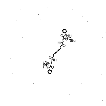 CC(C)(C)OC(=O)N[C@H](C(=O)NCCNC(=O)CCC#CC#CCCC(=O)NCCNC(=O)[C@@H](NC(=O)OC(C)(C)C)c1ccccc1)c1ccccc1